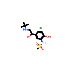 CC(C)(C)NCC(O)c1ccc(O)c(NS(C)(=O)=O)c1.Cl